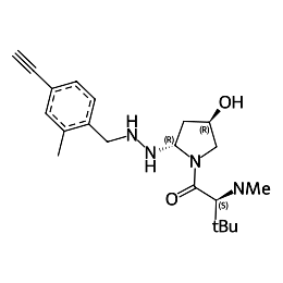 C#Cc1ccc(CNN[C@@H]2C[C@@H](O)CN2C(=O)[C@@H](NC)C(C)(C)C)c(C)c1